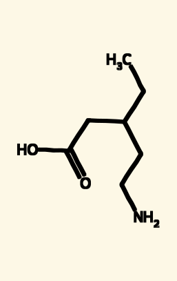 CCC(CCN)CC(=O)O